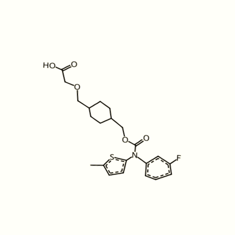 Cc1ccc(N(C(=O)OCC2CCC(COCC(=O)O)CC2)c2cccc(F)c2)s1